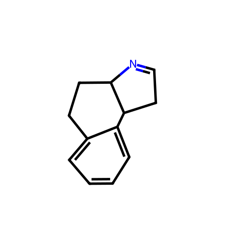 C1=NC2CCc3ccccc3C2C1